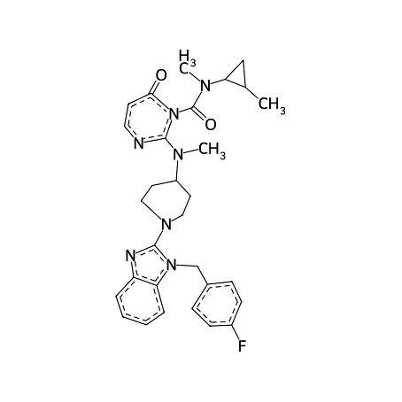 CC1CC1N(C)C(=O)n1c(N(C)C2CCN(c3nc4ccccc4n3Cc3ccc(F)cc3)CC2)nccc1=O